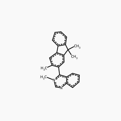 Cc1cc2c(cc1-c1c3ccccc3nc[n+]1C)C(C)(C)c1ccccc1-2